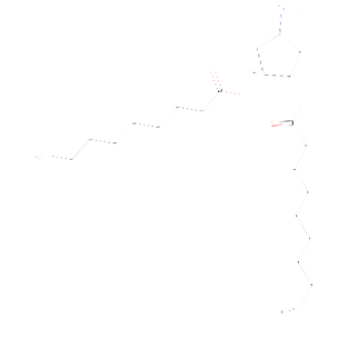 CCCCCCCCCCCCCCCCCC(=O)O[C@H]1CC(N)C[C@H]1OC(=O)CCCCCCCCCCCCCCCCC